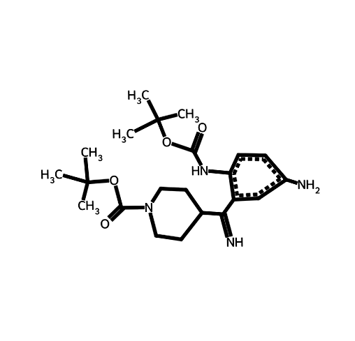 CC(C)(C)OC(=O)Nc1ccc(N)cc1C(=N)C1CCN(C(=O)OC(C)(C)C)CC1